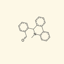 CN1c2ccccc2-c2ccccc2C1c1ccccc1C=O